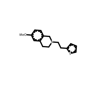 COc1ccc2c(c1)CCN(CCc1cccs1)C2